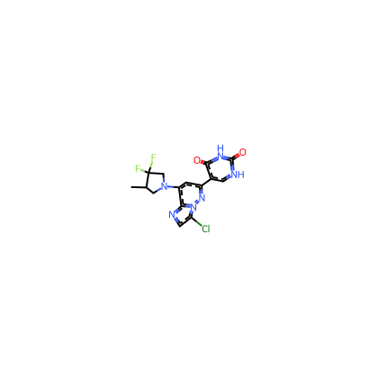 CC1CN(c2cc(-c3c[nH]c(=O)[nH]c3=O)nn3c(Cl)cnc23)CC1(F)F